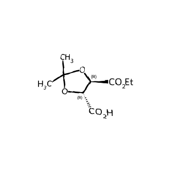 CCOC(=O)[C@@H]1OC(C)(C)O[C@H]1C(=O)O